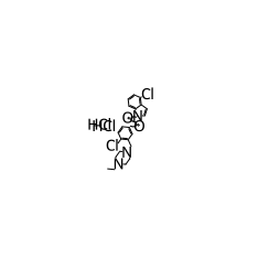 CCN1CCN(Cc2cc(S(=O)(=O)n3ccc4c(Cl)cccc43)ccc2Cl)CC1.Cl.Cl